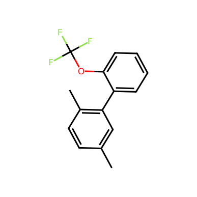 Cc1ccc(C)c(-c2ccccc2OC(F)(F)F)c1